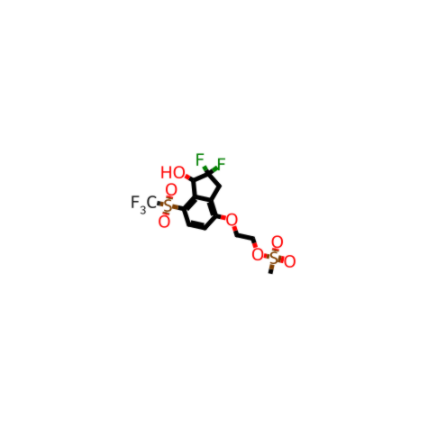 CS(=O)(=O)OCCOc1ccc(S(=O)(=O)C(F)(F)F)c2c1CC(F)(F)C2O